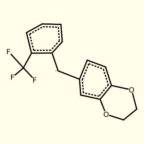 FC(F)(F)c1ccccc1[CH]c1ccc2c(c1)OCCO2